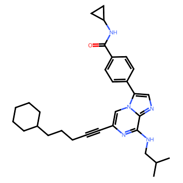 CC(C)CNc1nc(C#CCCCC2CCCCC2)cn2c(-c3ccc(C(=O)NC4CC4)cc3)cnc12